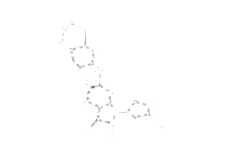 CCn1c(=O)c2cnc(Nc3ccc4c(c3)CCNC4)nc2n1-c1csc(C(C)(C)C)c1